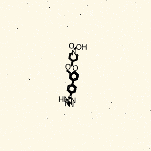 O=C(O)N1CCC(C2OCc3cc(-c4ccc(-c5nnn[nH]5)cc4)ccc3O2)CC1